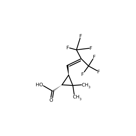 CC1(C)[C@H](C=C(C(F)(F)F)C(F)(F)F)[C@H]1C(=O)O